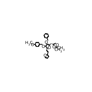 COc1ccc(CO[C@@H]2[C@@H](OCc3ccccc3)[C@@H](C[C@@H]3COC(C)(C)O3)O[C@H]2C=Cc2ccco2)cc1